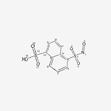 O=NS(=O)(=O)c1cccc2c(S(=O)(=O)O)cccc12